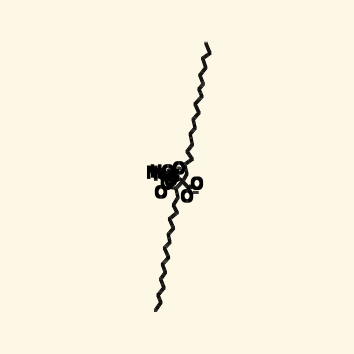 CCCCCCCCCCCCCCCCCCC(C(=O)[O-])(C(CCCCCCCCCCCCCCCC)C(=O)[O-])S(=O)(=O)O.[Na+].[Na+]